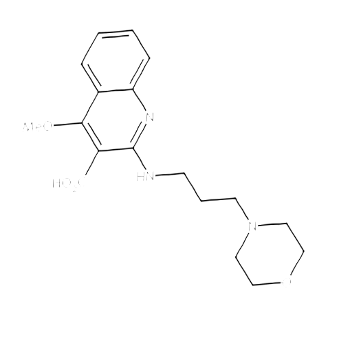 COc1c(C(=O)O)c(NCCCN2CCOCC2)nc2ccccc12